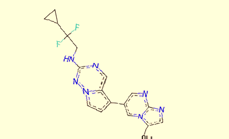 Cc1cnc2ncc(-c3ccn4nc(NCC(F)(F)C5CC5)ncc34)cn12